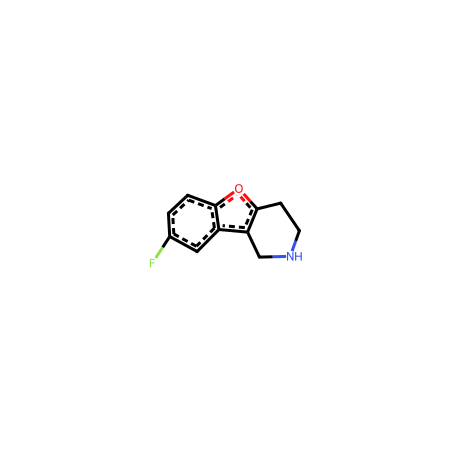 Fc1ccc2oc3c(c2c1)CNCC3